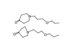 CCCOCCCN1CCC(=O)CC1.CCCOCCCN1CCC(=O)CC1